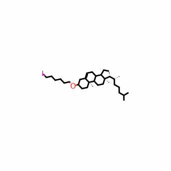 CC(C)CCC[C@@H](C)[C@H]1CCC2C3CC=C4CC(OCCCCCCI)CC[C@]4(C)C3CC[C@@]21C